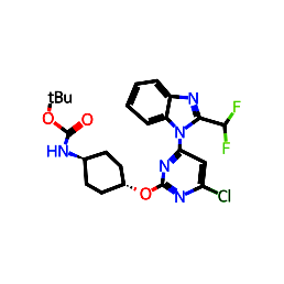 CC(C)(C)OC(=O)N[C@H]1CC[C@H](Oc2nc(Cl)cc(-n3c(C(F)F)nc4ccccc43)n2)CC1